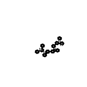 c1ccc(-c2cc(-n3c4ccccc4c4cc(-c5ccc6c7ccccc7n(-c7cccc(-c8ccc9c(c8)c8ncccc8n9-c8ccccc8)c7)c6c5)ccc43)cc(-c3ccccc3)n2)cc1